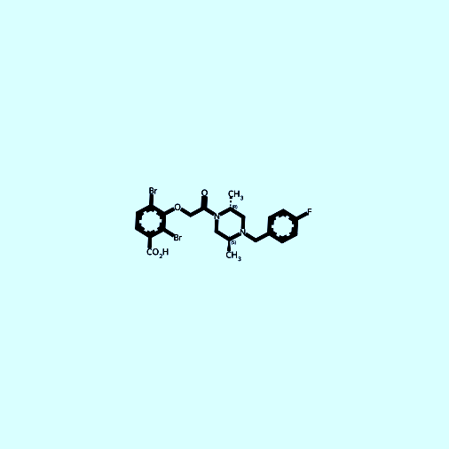 C[C@@H]1CN(Cc2ccc(F)cc2)[C@@H](C)CN1C(=O)COc1c(Br)ccc(C(=O)O)c1Br